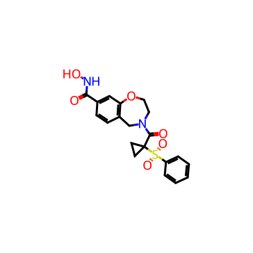 O=C(NO)c1ccc2c(c1)OCCN(C(=O)C1(S(=O)(=O)c3ccccc3)CC1)C2